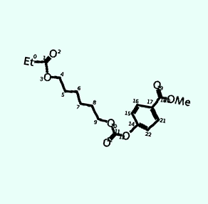 CCC(=O)OCCCCCCOC(=O)Oc1ccc(C(=O)OC)cc1